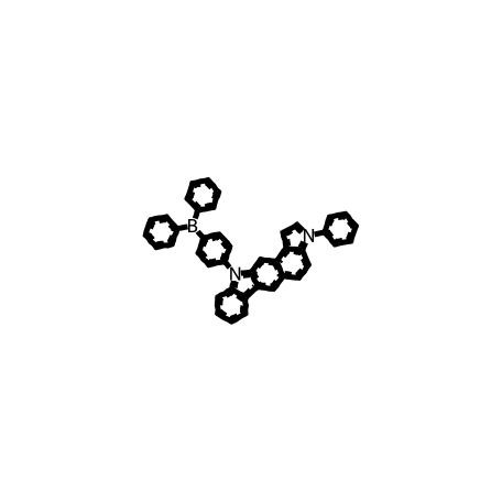 c1ccc(B(c2ccccc2)c2ccc(-n3c4ccccc4c4cc5ccc6c(ccn6-c6ccccc6)c5cc43)cc2)cc1